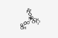 CC(C)c1oc(-c2ccc(C(F)(F)F)cc2)nc1CCOc1cccc(CC(=O)O)c1